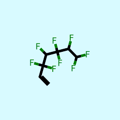 C=CC(F)(F)C(F)C(F)(F)C(F)C(F)F